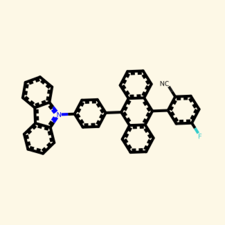 N#Cc1ccc(F)cc1-c1c2ccccc2c(-c2ccc(-n3c4ccccc4c4ccccc43)cc2)c2ccccc12